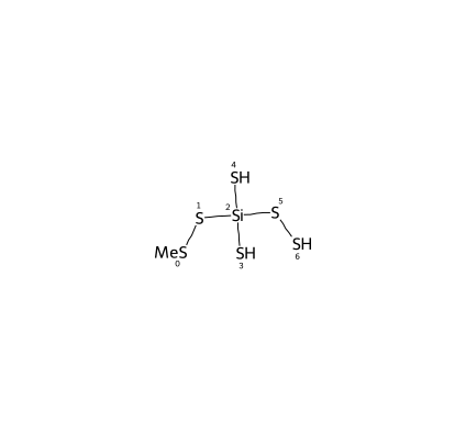 CSS[Si](S)(S)SS